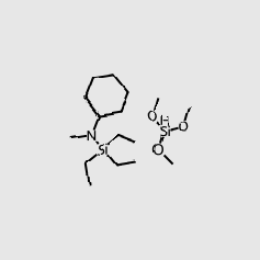 CC[Si](CC)(CC)N(C)C1CCCCC1.CO[SiH](OC)OC